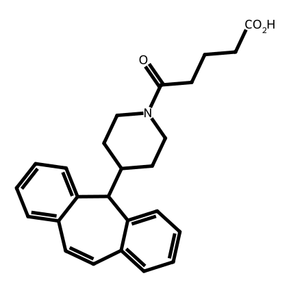 O=C(O)CCCC(=O)N1CCC(C2c3ccccc3C=Cc3ccccc32)CC1